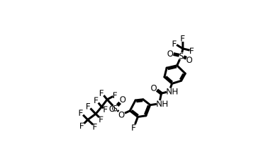 O=C(Nc1ccc(S(=O)(=O)C(F)(F)F)cc1)Nc1ccc(OS(=O)(=O)C(F)(F)C(F)(F)C(F)(F)C(F)(F)F)c(F)c1